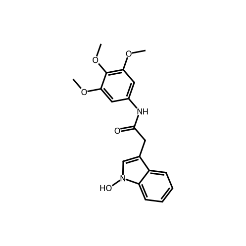 COc1cc(NC(=O)Cc2cn(O)c3ccccc23)cc(OC)c1OC